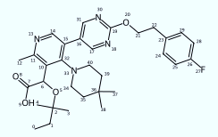 CCC(C)(C)OC(C(=O)O)c1c(C)ncc(-c2cnc(OCCc3ccc(F)cc3)nc2)c1N1CCC(C)(C)CC1